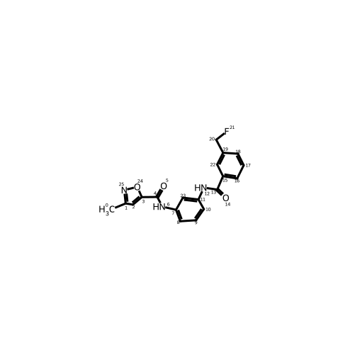 Cc1cc(C(=O)Nc2cccc(NC(=O)c3cccc(CF)c3)c2)on1